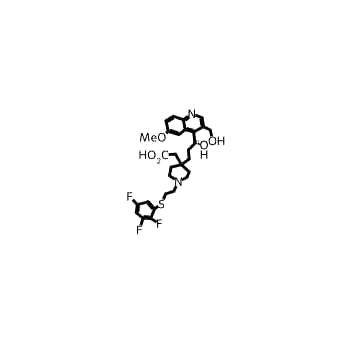 COc1ccc2ncc(CO)c([C@H](O)CCC3(CC(=O)O)CCN(CCSc4cc(F)cc(F)c4F)CC3)c2c1